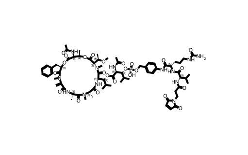 C=C1C(=O)N[C@@H](C)C(=O)N(C)[C@@H](C)C(=O)N[C@@H]([C@H](OC(=O)[C@@H](NC(C)=O)[C@H](OP(=O)(O)OCc2ccc(NC(=O)[C@H](CCCNC(N)=O)NC(=O)[C@@H](NC(=O)CCN3C(=O)C=CC3=O)C(C)C)cc2)C(C)C)C(C)C)C(=O)N(C)[C@@H]([C@@H](C)OC)C(=O)O[C@H](C)[C@H](NC(C)=O)C(=O)O[C@H](Cc2ccccc2)C(=O)N1C